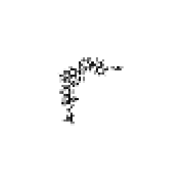 COc1cccc2c1ccn2-c1ccnc(Nc2ccc(Cl)c(NC(=O)c3cccc(NC(=O)/C=C/CN(C)C)c3)c2)n1